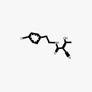 CC(O)=C(C#N)C(=O)NCCc1ccc(Cl)cc1